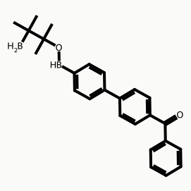 BC(C)(C)C(C)(C)OBc1ccc(-c2ccc(C(=O)c3ccccc3)cc2)cc1